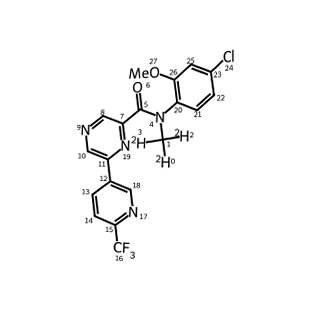 [2H]C([2H])([2H])N(C(=O)c1cncc(-c2ccc(C(F)(F)F)nc2)n1)c1ccc(Cl)cc1OC